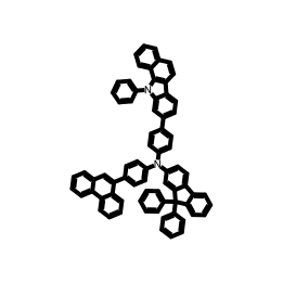 c1ccc(-n2c3cc(-c4ccc(N(c5ccc(-c6cc7ccccc7c7ccccc67)cc5)c5ccc6c(c5)C(c5ccccc5)(c5ccccc5)c5ccccc5-6)cc4)ccc3c3ccc4ccccc4c32)cc1